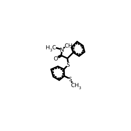 CSc1ccccc1SC(C(=O)N(C)C)c1ccccc1